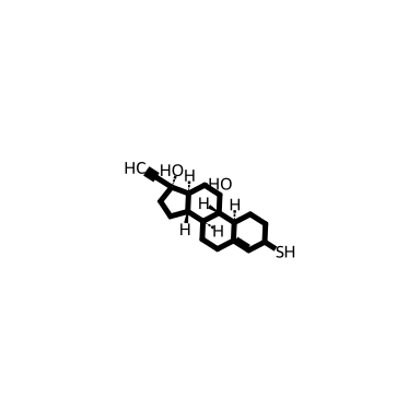 C#C[C@]1(O)CC[C@H]2[C@@H]3CCC4=CC(S)CC[C@@H]4[C@H]3CC[C@@H]21.[OH]